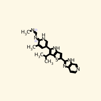 C/N=C\N=c1/[nH]cc(-c2[nH]c3cc(-c4nc5ccncc5[nH]4)sc3c2C(C)C)cc1C